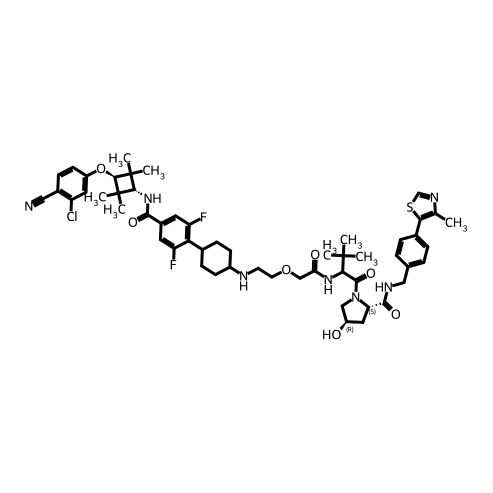 Cc1ncsc1-c1ccc(CNC(=O)[C@@H]2C[C@@H](O)CN2C(=O)C(NC(=O)COCCNC2CCC(c3c(F)cc(C(=O)N[C@H]4C(C)(C)[C@H](Oc5ccc(C#N)c(Cl)c5)C4(C)C)cc3F)CC2)C(C)(C)C)cc1